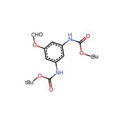 CC(C)(C)OC(=O)Nc1cc(NC(=O)OC(C)(C)C)cc(OC=O)c1